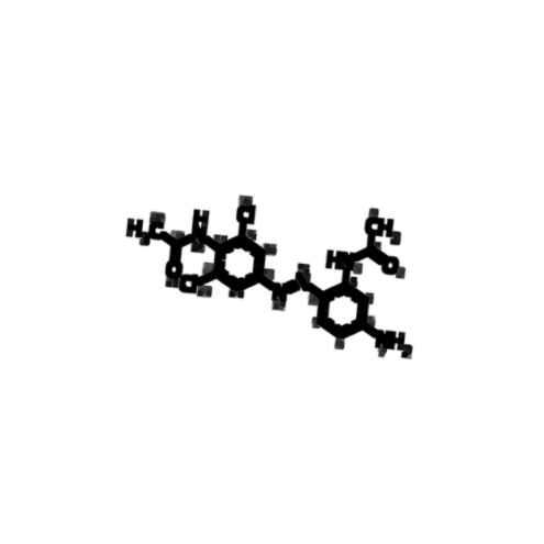 CC(=O)Nc1cc(N)ccc1/N=N/c1cc(Cl)c(NC(C)=O)c(Cl)c1